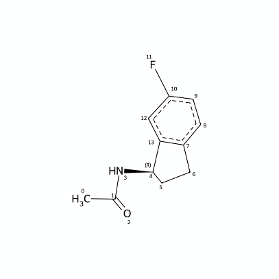 CC(=O)N[C@@H]1CCc2ccc(F)cc21